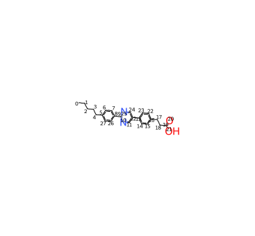 CCCCCc1ccc(-c2ncc(-c3ccc(CCC(=O)O)cc3)cn2)cc1